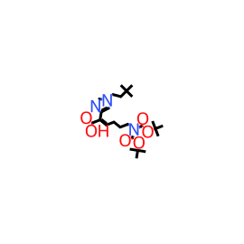 CC(C)(C)CCn1cnc(/C(=C\CCCN(C(=O)OC(C)(C)C)C(=O)OC(C)(C)C)C(=O)O)c1